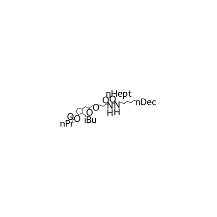 CCCCCCCCCCCCCCCNCNC(CCOCC(=O)CC1CCC(OC(=O)CCC)C1C[C@H](C)CC)OC(=O)CCCCCCC